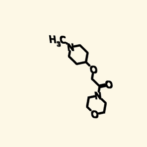 CN1CCC(OCC(=O)N2CCOCC2)CC1